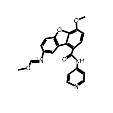 CO/C=N/c1ccc2oc3c(OC)ccc(C(=O)Nc4ccncc4)c3c2c1